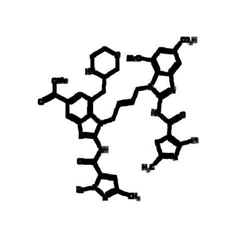 CCc1nc(C)sc1C(=O)Nc1nc2cc(C(=O)O)cc(OC)c2n1C/C=C/Cn1c(NC(=O)c2cc(C)nn2CC)nc2cc(C(=O)OC)cc(CC3COCCN3)c21